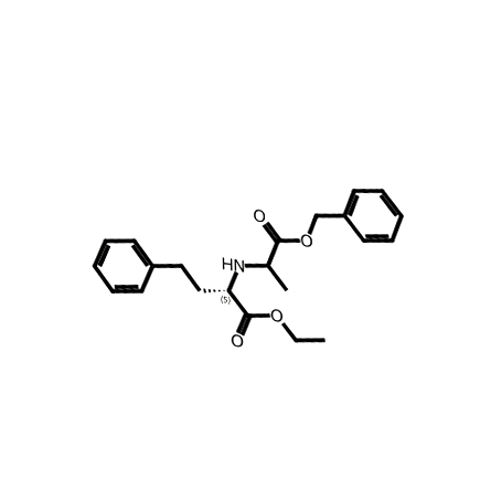 CCOC(=O)[C@H](CCc1ccccc1)NC(C)C(=O)OCc1ccccc1